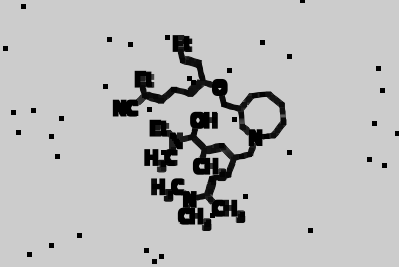 CC/C=C/C(=CC/C=C(/C#N)CC)OCC1CCCCCN(CC(/C=C(\C)C(O)N(C)CC)C/C=C(\C)N(C)C)C1